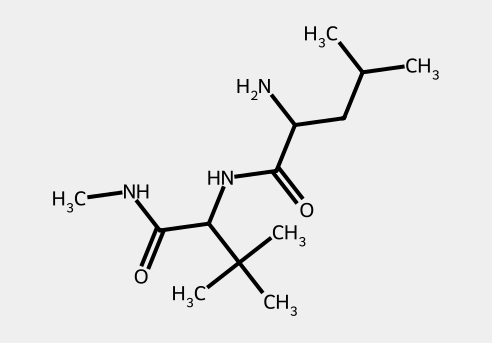 CNC(=O)C(NC(=O)C(N)CC(C)C)C(C)(C)C